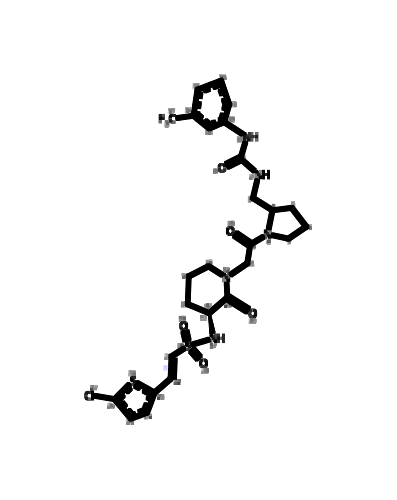 O=C(NCC1CCCN1C(=O)CN1CCC[C@H](NS(=O)(=O)/C=C/c2ccc(Cl)s2)C1=O)Nc1cccc(C(F)(F)F)c1